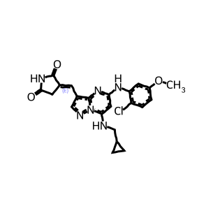 COc1ccc(Cl)c(Nc2cc(NCC3CC3)n3ncc(/C=C4\CC(=O)NC4=O)c3n2)c1